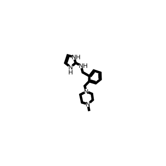 CN1CCN(Cc2ccccc2CNC2NC=CN2)CC1